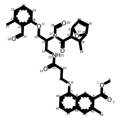 COC(=O)c1cc2c(SCCC(=O)NCC(COc3cccc(C)c3C=O)N(C=O)C(=O)C3C4C=CC(O4)C3C)cccc2cc1C